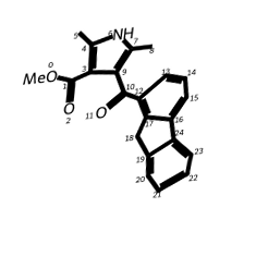 COC(=O)c1c(C)[nH]c(C)c1C(=O)c1cccc2c1Cc1ccccc1-2